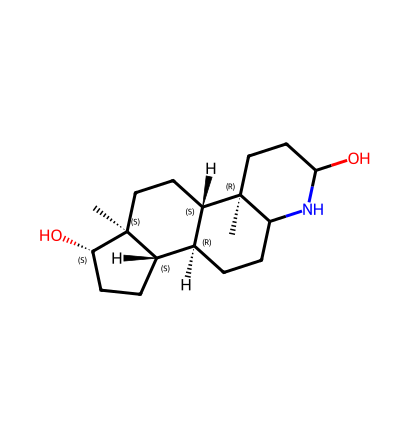 C[C@]12CC[C@H]3[C@@H](CCC4NC(O)CC[C@@]43C)[C@@H]1CC[C@@H]2O